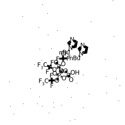 CCCCn1ccnc1.CCCCn1ccnc1.O=P(O)(O)OP(=O)(OC(F)(F)C(F)(F)F)OP(=O)(OC(F)(F)C(F)(F)F)OC(F)(F)C(F)(F)F